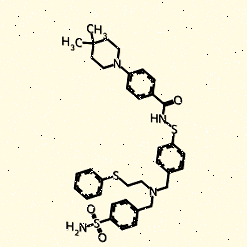 CC1(C)CCN(c2ccc(C(=O)NSc3ccc(CN(CCSc4ccccc4)Cc4ccc(S(N)(=O)=O)cc4)cc3)cc2)CC1